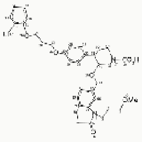 COCCCN1C(=O)CCc2ccc(COC3CN(C(=O)O)CCC3c3ccc(OCCCOc4ccccc4Cl)cc3)cc21